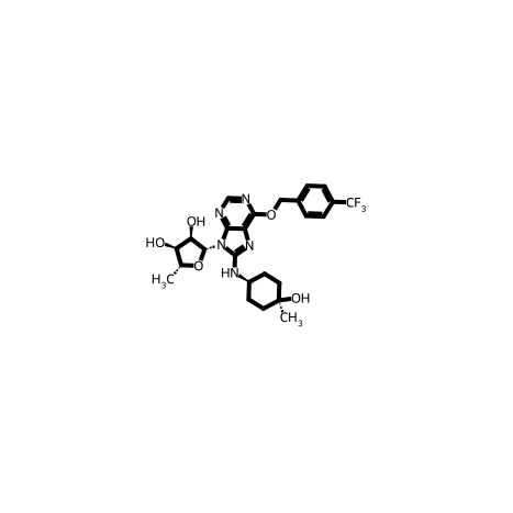 C[C@H]1O[C@@H](n2c(N[C@H]3CC[C@@](C)(O)CC3)nc3c(OCc4ccc(C(F)(F)F)cc4)ncnc32)[C@H](O)[C@@H]1O